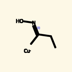 CC/C(C)=N/O.[Cu]